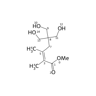 COC(=O)C(C)=C(C)CC(CO)(CO)CO